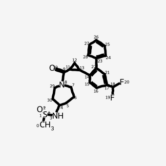 C[S+]([O-])NC1CCCN(C(=O)C2CC2c2ccc(C(F)F)cc2-c2ccccc2)CC1